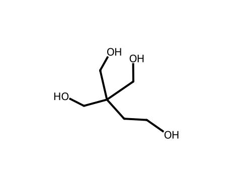 OCCC(CO)(CO)CO